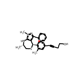 Cc1cc(C#CCCO)ccc1[C@H]1SC[C@H](C)Nc2c1c(-c1ccccn1)nn2C